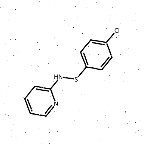 Clc1ccc(SNc2ccccn2)cc1